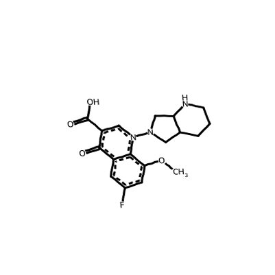 COc1cc(F)cc2c(=O)c(C(=O)O)cn(N3CC4CCCNC4C3)c12